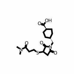 CN(C)C(=O)CCSC1CC(=O)N(C[C@H]2CC[C@H](C(=O)O)CC2)C1=O